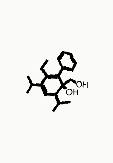 CCC1=C(c2ccccc2)C(O)(CO)C(C(C)C)C=C1C(C)C